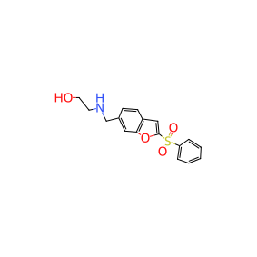 O=S(=O)(c1ccccc1)c1cc2ccc(CNCCO)cc2o1